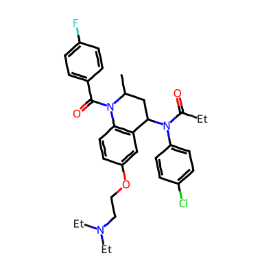 CCC(=O)N(c1ccc(Cl)cc1)C1CC(C)N(C(=O)c2ccc(F)cc2)c2ccc(OCCN(CC)CC)cc21